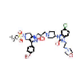 CS(=O)(=O)N1CCc2c(c(-c3ccc(Br)cc3)nn2CC(O)CN2CCC(n3c(=O)n(CCN4CCOCC4)c4ccc(Cl)cc43)CC2)C1